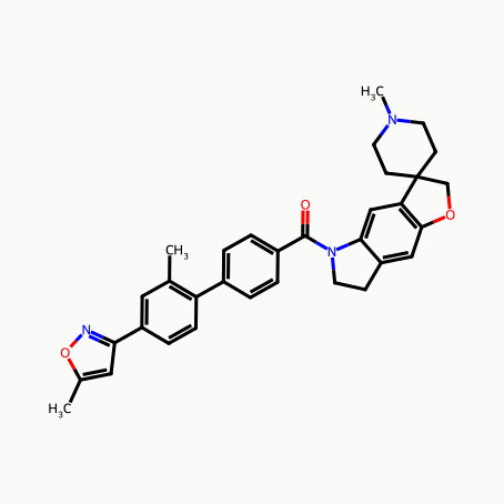 Cc1cc(-c2ccc(-c3ccc(C(=O)N4CCc5cc6c(cc54)C4(CCN(C)CC4)CO6)cc3)c(C)c2)no1